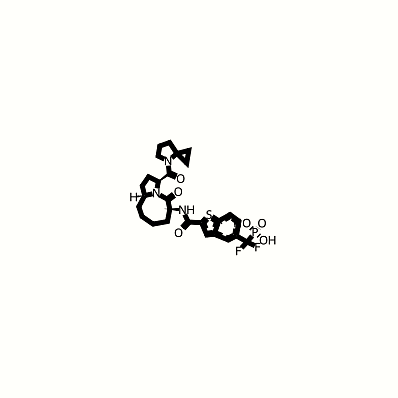 O=C(N[C@H]1CCCC[C@H]2CC[C@@H](C(=O)N3CCCC34CC4)N2C1=O)c1cc2cc(C(F)(F)P(=O)(O)O)ccc2s1